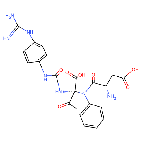 CC(=O)[C@@](NC(=O)Nc1ccc(NC(=N)N)cc1)(C(=O)O)N(C(=O)[C@@H](N)CC(=O)O)c1ccccc1